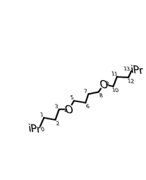 CC(C)CCCOCCCCOCCCC(C)C